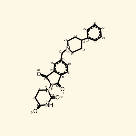 O=C1CCN(N2C(=O)c3ccc(CN4CCC(c5ccccc5)CC4)cc3C2=O)C(=O)N1